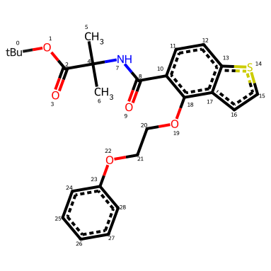 CC(C)(C)OC(=O)C(C)(C)NC(=O)c1ccc2sccc2c1OCCOc1ccccc1